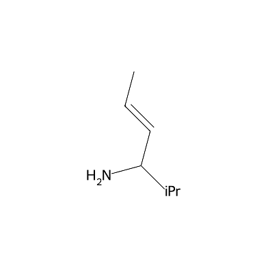 CC=CC(N)C(C)C